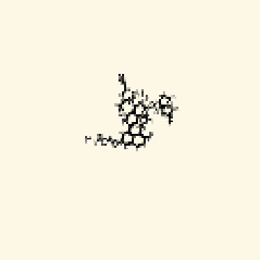 C#Cc1c(F)ccc2cc(OCOC)cc(-c3cc4nc(OC[C@@]56CCCN5C[C@H](F)C6)nc5c4c(n3)OC[C@H](CCC#N)N5C)c12